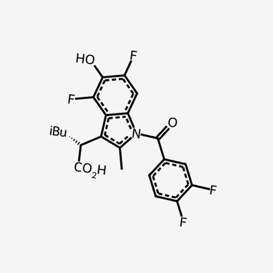 CC[C@@H](C)C(C(=O)O)c1c(C)n(C(=O)c2ccc(F)c(F)c2)c2cc(F)c(O)c(F)c12